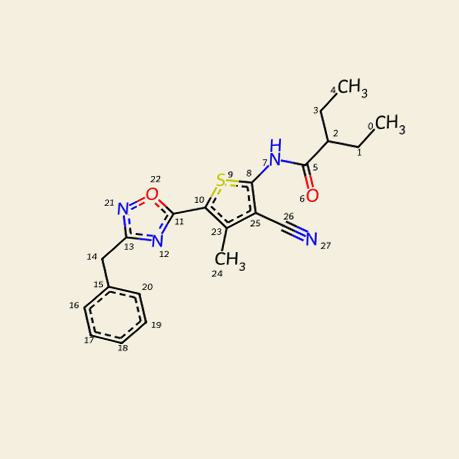 CCC(CC)C(=O)Nc1sc(-c2nc(Cc3ccccc3)no2)c(C)c1C#N